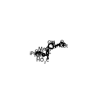 CCC(O)C(C)[C@H]1O[C@@H]1CC(C)(O)/C=C/C=C(\C)[C@H]1OC(=O)C[C@H](O)CC[C@@](C)(OC)[C@@H](OC(=O)N2CC[N+](CCCC(=O)O)(Cc3ccc(NC(=O)C(C)NC(=O)C(N)C(C)C)cc3)CC2)/C=C/[C@@H]1C